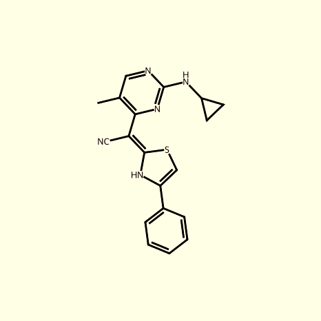 Cc1cnc(NC2CC2)nc1/C(C#N)=C1/NC(c2ccccc2)=CS1